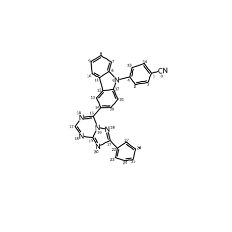 N#Cc1ccc(-n2c3ccccc3c3cc(-c4ncnc5nc(-c6ccccc6)nn45)ccc32)cc1